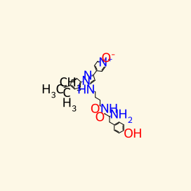 CC(C)(C)c1ccc(-n2nc(-c3cc[n+]([O-])cc3)cc2NCCCC(=O)NC(=O)[C@@H](N)Cc2ccc(O)cc2)cc1